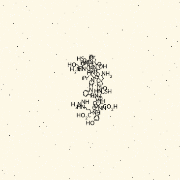 CC(C)C[C@H](NC(=O)[C@H](CS)NC(=O)[C@@H](NC(=O)[C@@H](N)CO)[C@@H](C)O)C(=O)N[C@@H](CO)C(=O)N[C@@H](CC(C)C)C(=O)N1CCC[C@H]1C(=O)N[C@@H](CCCCN)C(=O)N[C@@H](CS)C(=O)N[C@@H](Cc1c[nH]c2ccccc12)C(=O)N[C@@H](CC(=O)O)C(=O)N[C@@H](Cc1ccc(O)cc1)C(=O)N[C@@H](CCCNC(=N)N)C(=O)O